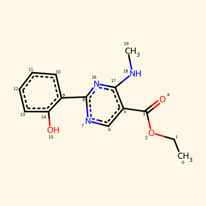 CCOC(=O)c1cnc(-c2ccccc2O)nc1NC